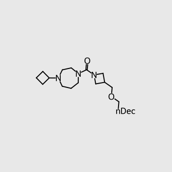 CCCCCCCCCCCOCC1CN(C(=O)N2CCCN(C3CCC3)CC2)C1